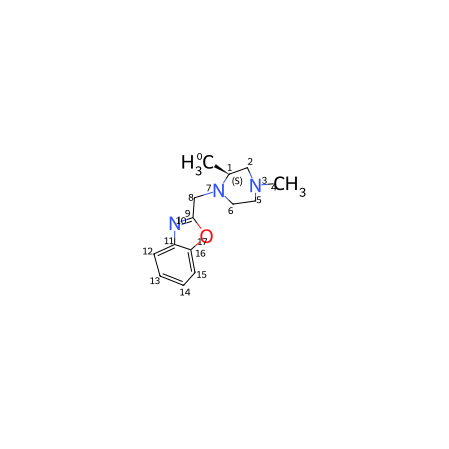 C[C@H]1CN(C)CCN1Cc1nc2ccccc2o1